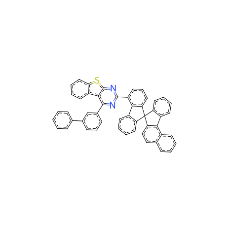 c1ccc(-c2cccc(-c3nc(-c4cccc5c4-c4ccccc4C54c5ccccc5-c5c4ccc4ccccc54)nc4sc5ccccc5c34)c2)cc1